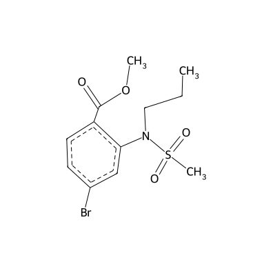 CCCN(c1cc(Br)ccc1C(=O)OC)S(C)(=O)=O